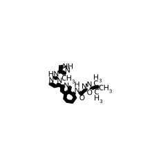 Cc1n[nH]cc1Nc1nccc(-c2cc3c(cn2)C(NC(=O)c2nnc(C(C)(C)C)o2)CCCC3)n1